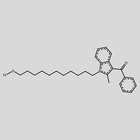 CCOCCCCCCCCCCCn1c(C)c(C(=O)c2ccccc2)c2ccccc21